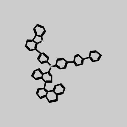 c1ccc(-c2ccc(-c3ccc(N(c4ccc(-c5cccc6c5oc5ccccc56)cc4)c4ccc(-c5cccc6ccc7ccccc7c56)c5ccccc45)cc3)cc2)cc1